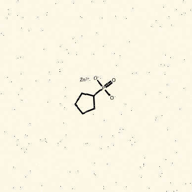 O=P([O-])([O-])C1CCCC1.[Zn+2]